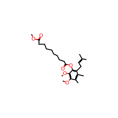 COC(=O)CCCCCCCCC(=O)Oc1c(CC=C(C)C)c(C)c(C)c(OC)c1OC